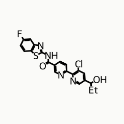 CCC(O)c1cnc(-c2ccc(C(=O)Nc3nc4cc(F)ccc4s3)cn2)c(Cl)c1